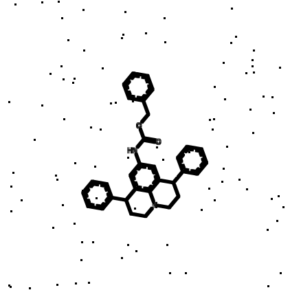 O=C(Nc1cc2c3c(c1)C(c1ccccc1)CCN3CCC2c1ccccc1)OCc1ccccc1